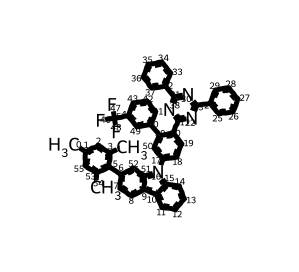 Cc1cc(C)c(-c2ccc3c4ccccc4n(-c4ccc(-c5nc(-c6ccccc6)nc(-c6ccccc6)n5)c(-c5cccc(C(F)(F)F)c5)c4)c3c2)c(C)c1